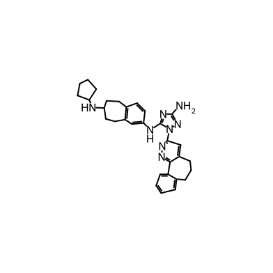 Nc1nc(Nc2ccc3c(c2)CCC(NC2CCCC2)CC3)n(-c2cc3c(nn2)-c2ccccc2CCC3)n1